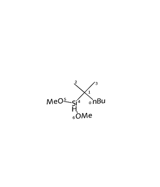 CCCCC(C)(C)[SiH](OC)OC